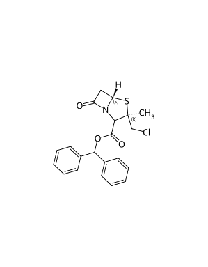 C[C@@]1(CCl)S[C@H]2CC(=O)N2C1C(=O)OC(c1ccccc1)c1ccccc1